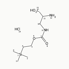 C[Si](C)(C)CCOC(=O)NCC(N)C(=O)O.Cl